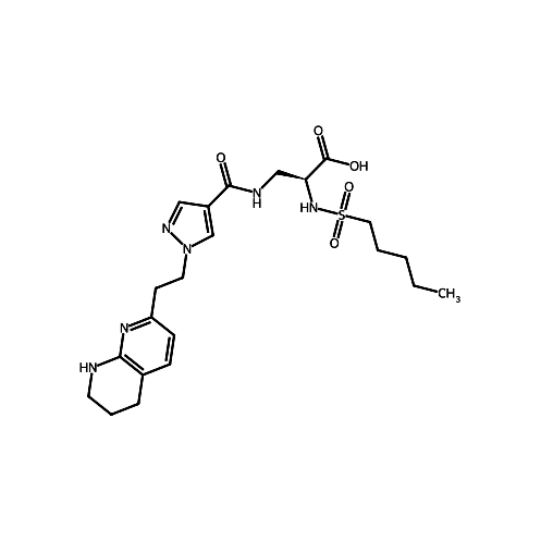 CCCCCS(=O)(=O)N[C@@H](CNC(=O)c1cnn(CCc2ccc3c(n2)NCCC3)c1)C(=O)O